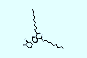 CCCCCCCCOC(=O)c1ccccc1C(=O)OCCCCCCCC.O=C1CCCCN1